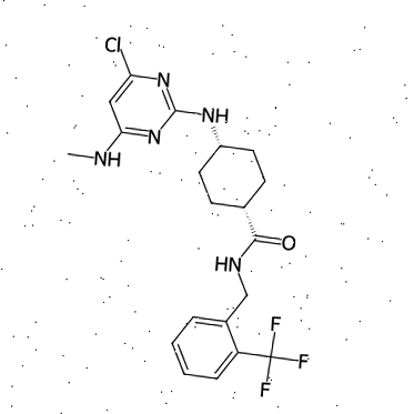 CNc1cc(Cl)nc(N[C@H]2CC[C@@H](C(=O)NCc3ccccc3C(F)(F)F)CC2)n1